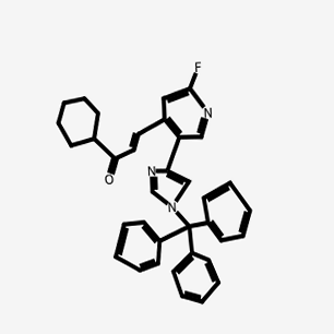 O=C(C=Cc1cc(F)ncc1-c1cn(C(c2ccccc2)(c2ccccc2)c2ccccc2)cn1)C1CCCCC1